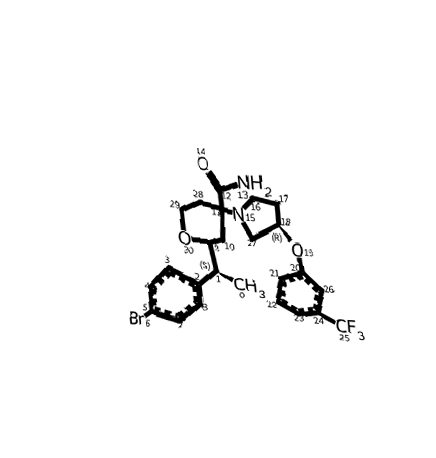 C[C@@H](c1ccc(Br)cc1)C1CC(C(N)=O)(N2CC[C@@H](Oc3cccc(C(F)(F)F)c3)C2)CCO1